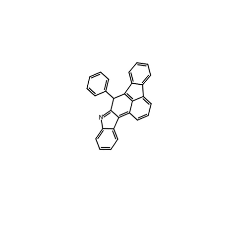 c1ccc(C2C3=Nc4ccccc4C3=c3cccc4c3=C2c2ccccc2-4)cc1